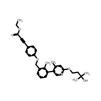 CCOC(=O)C#Cc1ccc(OCc2cccc(-c3cnc(OCCC(C)(C)O)cc3C)c2C)cc1